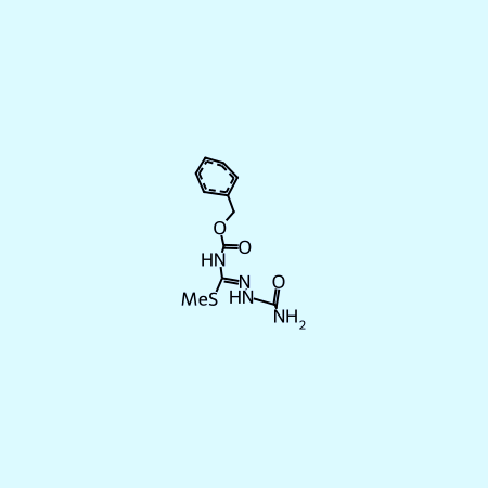 CSC(=NNC(N)=O)NC(=O)OCc1ccccc1